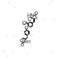 O=C1NC(Cc2ccc(Oc3ccc(/C=C4/SC(=O)NC4=O)cc3Cl)cc2)CO1